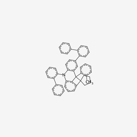 Cc1ccccc1C12c3cc(-c4ccccc4-c4ccccc4)ccc3N(c3ccccc3-c3ccccc3)c3cccc(c31)C21CCCC1